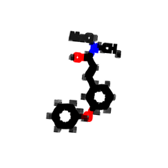 CON(C)C(=O)/C=C/c1cccc(Oc2ccccc2)c1